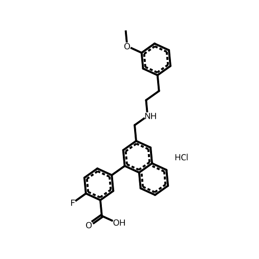 COc1cccc(CCNCc2cc(-c3ccc(F)c(C(=O)O)c3)c3ccccc3c2)c1.Cl